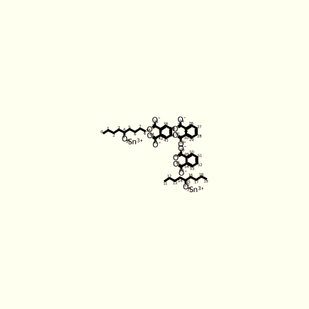 CCCCC(CCCC)[O][Sn+3].CCCCC(CCCC)[O][Sn+3].O=C([O-])c1ccccc1C(=O)[O-].O=C([O-])c1ccccc1C(=O)[O-].O=C([O-])c1ccccc1C(=O)[O-]